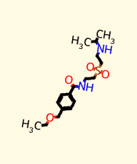 CCOCc1ccc(C(=O)NCCS(=O)(=O)CCNC(C)C)cc1